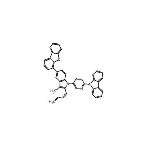 C=C/C=C\c1c(C)c2cc(-c3cccc4c3oc3ccccc34)ccc2n1-c1ccc(-n2c3ccccc3c3ccccc32)nc1